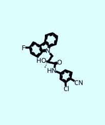 C[C@](O)(Cn1c2ccccc2c2cc(F)ccc21)C(=O)Nc1ccc(C#N)c(Cl)c1